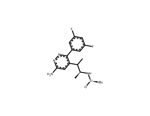 CC(c1cc(N)nnc1-c1cc(F)cc(F)c1)[C@H](C)N[S@+]([O-])C(C)(C)C